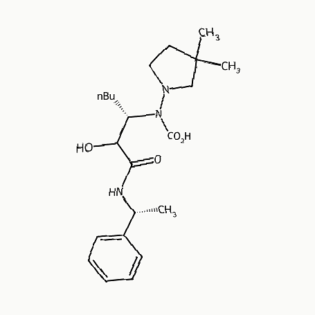 CCCC[C@@H](C(O)C(=O)N[C@H](C)c1ccccc1)N(C(=O)O)N1CCC(C)(C)C1